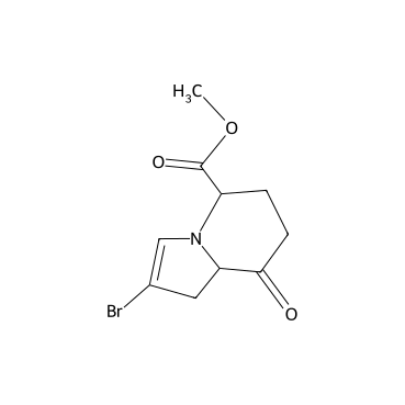 COC(=O)C1CCC(=O)C2CC(Br)=CN21